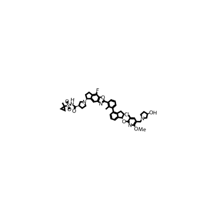 COc1nc(O[C@H]2CCc3c(-c4cccc(-c5nc6cc7c(c(F)c6o5)CC[C@H]7N5CC[C@@H](C(=O)NS(=O)(=O)C6(C)CC6)C5)c4C)cccc32)c(Cl)cc1CN1CC[C@@H](O)C1